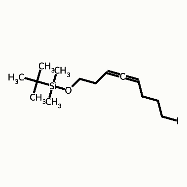 CC(C)(C)[Si](C)(C)OCCC=C=CCCCI